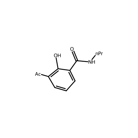 CCCNC(=O)c1cccc(C(C)=O)c1O